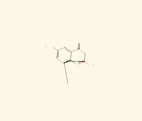 CC1CN(CC(F)(F)F)C23N=CCC(=O)C2=CC(C(F)(F)F)=CC3O1